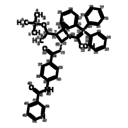 C[C@@H](O[Si](C)(C)C)[C@H]1C(=O)N(C(C(=O)O)=P(c2ccccc2)(c2ccccc2)c2ccccc2)[C@@H]1CC(=O)c1ccc(NC(=O)c2cccnc2)cc1